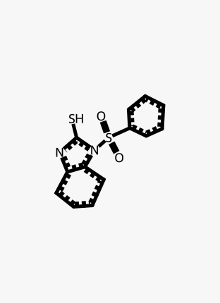 O=S(=O)(c1ccccc1)n1c(S)nc2ccccc21